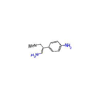 CNC/C(=C\N)c1ccc(N)cc1